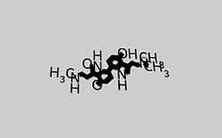 CNCCC1=C2C(=O)C=CC(c3ccc(O)c4c(CCN(C)C)c[nH]c34)=C2NC1=O